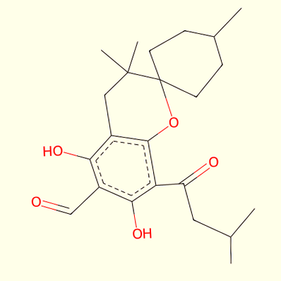 CC(C)CC(=O)c1c(O)c(C=O)c(O)c2c1OC1(CCC(C)CC1)C(C)(C)C2